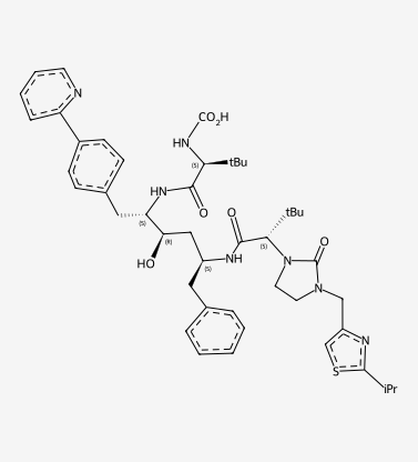 CC(C)c1nc(CN2CCN([C@H](C(=O)N[C@@H](Cc3ccccc3)C[C@@H](O)[C@H](Cc3ccc(-c4ccccn4)cc3)NC(=O)[C@@H](NC(=O)O)C(C)(C)C)C(C)(C)C)C2=O)cs1